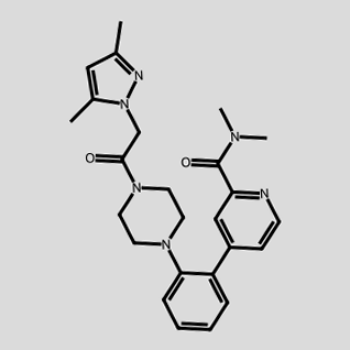 Cc1cc(C)n(CC(=O)N2CCN(c3ccccc3-c3ccnc(C(=O)N(C)C)c3)CC2)n1